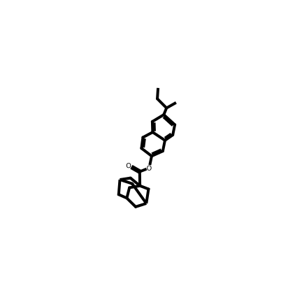 CCC(C)c1ccc2cc(OC(=O)C34CC5CC(CC(C5)C3)C4)ccc2c1